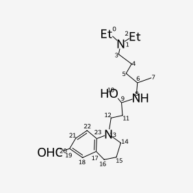 CCN(CC)CCCC(C)NC(O)CCN1CCCc2cc(C=O)ccc21